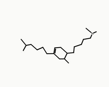 CC(C)CCCCC1=CCC(CCCCCN(C)C)C(C)C1